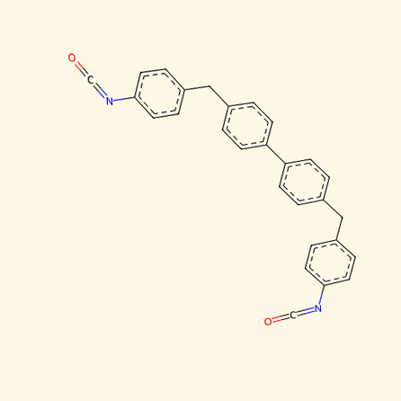 O=C=Nc1ccc(Cc2ccc(-c3ccc(Cc4ccc(N=C=O)cc4)cc3)cc2)cc1